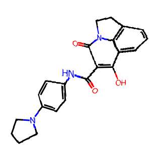 O=C(Nc1ccc(N2CCCC2)cc1)c1c(O)c2cccc3c2n(c1=O)CC3